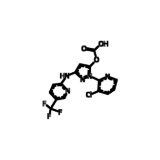 O=C(O)Oc1cc(Nc2ccc(C(F)(F)F)cn2)nn1-c1ncccc1Cl